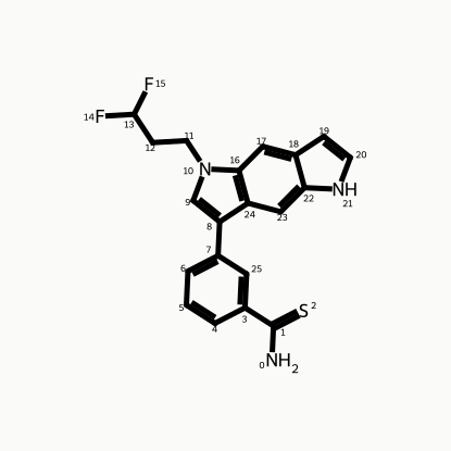 NC(=S)c1cccc(-c2cn(CCC(F)F)c3cc4cc[nH]c4cc23)c1